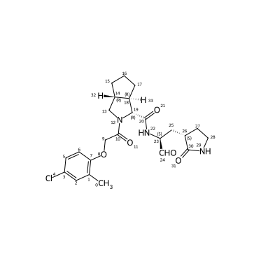 Cc1cc(Cl)ccc1OCC(=O)N1C[C@@H]2CCC[C@H]2[C@@H]1C(=O)N[C@H](C=O)C[C@@H]1CCNC1=O